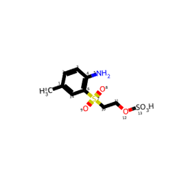 Cc1ccc(N)c(S(=O)(=O)CCOS(=O)(=O)O)c1